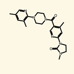 Cc1cnc(N2CCN(C(=O)c3cnc(N4CCN(C)C4=O)cc3C)CC2)c(C)c1